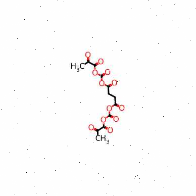 CC(=O)C(=O)OC(=O)OC(=O)CCC(=O)OC(=O)OC(=O)C(C)=O